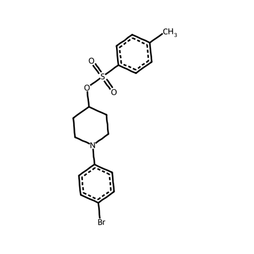 Cc1ccc(S(=O)(=O)OC2CCN(c3ccc(Br)cc3)CC2)cc1